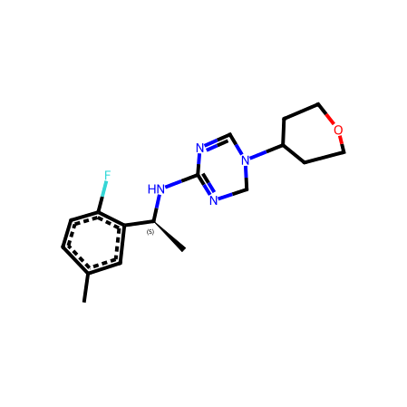 Cc1ccc(F)c([C@H](C)NC2=NCN(C3CCOCC3)C=N2)c1